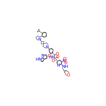 O=C(NS(=O)(=O)c1cnc(NCC2C3COCC23)c([N+](=O)[O-])c1)c1ccc(N2CCC3(CC2)CC(N2CCCC2c2ccccc2C2CC2)C3)cc1Oc1cnc2[nH]ccc2c1